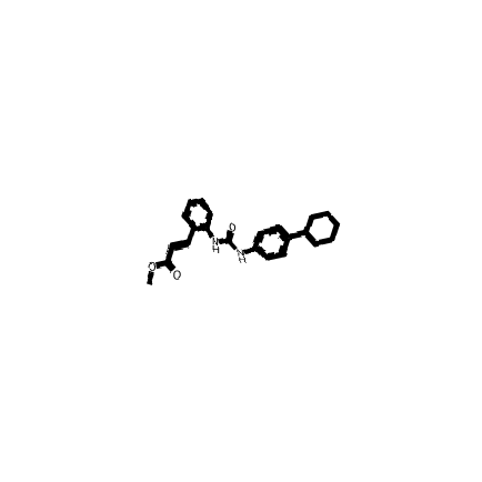 COC(=O)C=Cc1ccccc1NC(=O)Nc1ccc(C2CCCCC2)cc1